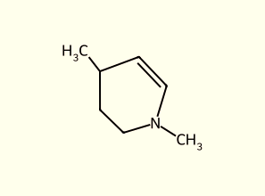 CC1C=CN(C)CC1